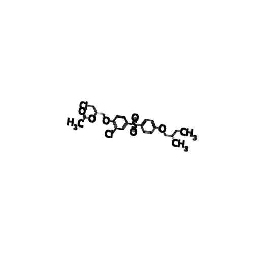 CC[C@H](C)COc1ccc(S(=O)(=O)c2ccc(OC[C@@H](CCl)OC(C)=O)c(Cl)c2)cc1